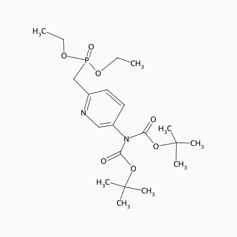 CCOP(=O)(Cc1ccc(N(C(=O)OC(C)(C)C)C(=O)OC(C)(C)C)cn1)OCC